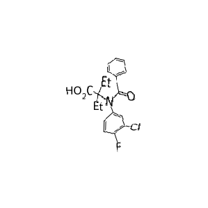 CCC(CC)(C(=O)O)N(C(=O)c1ccccc1)c1ccc(F)c(Cl)c1